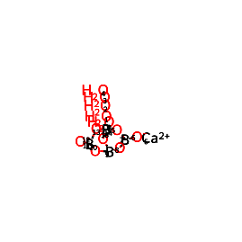 O.O.O.O.O.[Ca+2].[O-]B1OB2OB([O-])OB(O1)O2